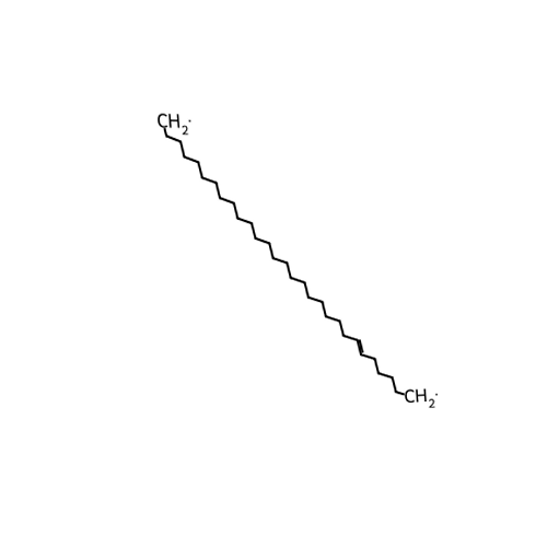 [CH2]CCCCC=CCCCCCCCCCCCCCCCCCCCCC[CH2]